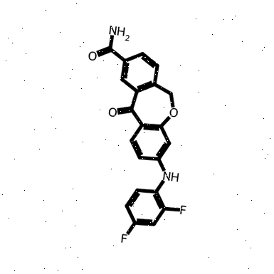 NC(=O)c1ccc2c(c1)C(=O)c1ccc(Nc3ccc(F)cc3F)cc1OC2